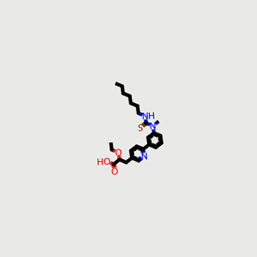 CCCCCCCNC(=S)N(C)c1cccc(-c2ccc(CC(OCC)C(=O)O)cn2)c1